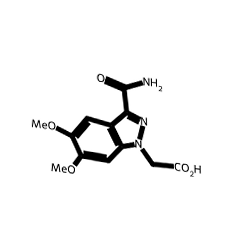 COc1cc2c(C(N)=O)nn(CC(=O)O)c2cc1OC